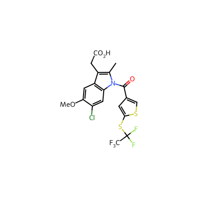 COc1cc2c(CC(=O)O)c(C)n(C(=O)c3csc(SC(F)(F)C(F)(F)F)c3)c2cc1Cl